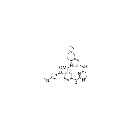 COc1cc(Nc2nccc(Nc3cnc4c(c3)CC3(CCC3)CC4)n2)ccc1OC1CC(N(C)C)C1